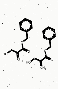 C=C(CO)C(=O)OCc1ccccc1.C=C(CO)C(=O)OCc1ccccc1